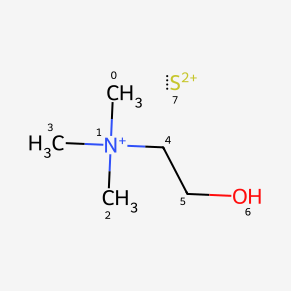 C[N+](C)(C)CCO.[S+2]